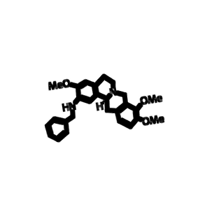 COc1cc2c(cc1NCc1ccccc1)[C@@H]1Cc3ccc(OC)c(OC)c3CN1CC2